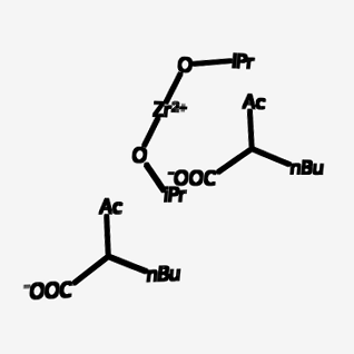 CC(C)[O][Zr+2][O]C(C)C.CCCCC(C(C)=O)C(=O)[O-].CCCCC(C(C)=O)C(=O)[O-]